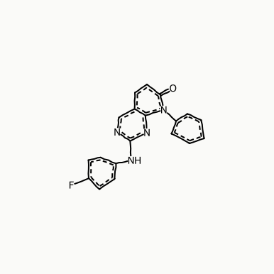 O=c1ccc2cnc(Nc3ccc(F)cc3)nc2n1-c1ccccc1